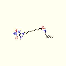 CCCCCCCCCCCCN1COC(CCCCCCCCCN2CN(C)c3c2n(C)c(=O)[nH]c3=O)C1